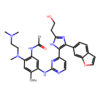 CCC(=O)Nc1cc(Nc2nccc(-c3[nH]c(CCO)nc3-c3ccc4ccoc4c3)n2)c(OC)cc1N(C)CCN(C)C